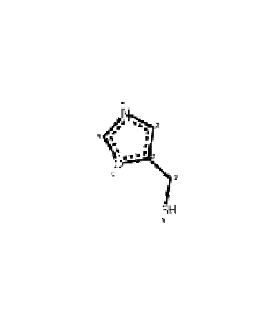 SCc1cnco1